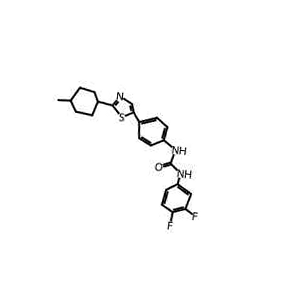 CC1CCC(c2ncc(-c3ccc(NC(=O)Nc4ccc(F)c(F)c4)cc3)s2)CC1